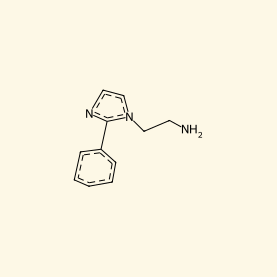 NCCn1ccnc1-c1ccccc1